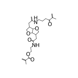 C=C(CC1COC2C(CC(=O)NCCOC(=O)C(=C)C)COC12)NCCCC(=O)C(=C)C